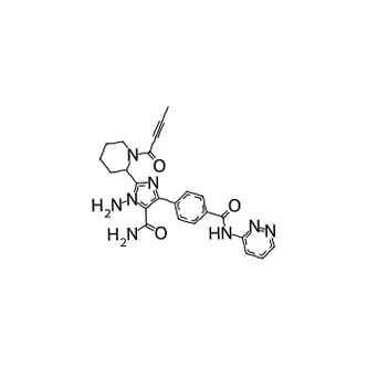 CC#CC(=O)N1CCCCC1c1nc(-c2ccc(C(=O)Nc3cccnn3)cc2)c(C(N)=O)n1N